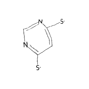 [S]c1cc([S])ncn1